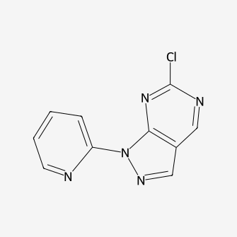 Clc1ncc2cnn(-c3ccccn3)c2n1